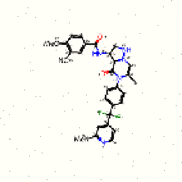 CNc1cc(C(F)(F)c2ccc(N3C(=O)C4[C@@H](NC(=O)c5ccc(OC)c(C#N)c5)CNN4C=C3C)cc2)ccn1